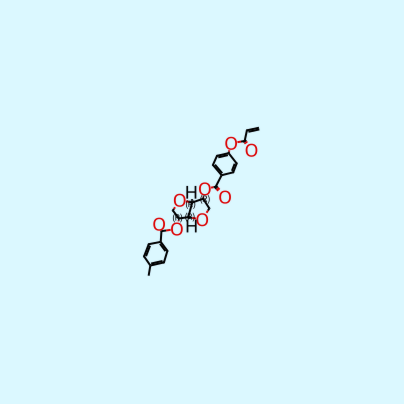 C=CC(=O)Oc1ccc(C(=O)O[C@@H]2CO[C@H]3[C@@H]2OC[C@H]3OC(=O)c2ccc(C)cc2)cc1